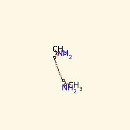 CCCCc1cc(N)ccc1Cc1ccc(CCCCCCCCCCCCCCCCCCCc2ccc(Cc3ccc(N)cc3CCCC)cc2)cc1